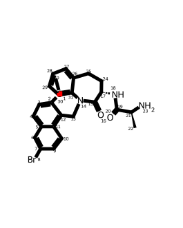 COc1ccc2cc(Br)ccc2c1CN1C(=O)[C@@H](NC(=O)[C@H](C)N)CCc2ccccc21